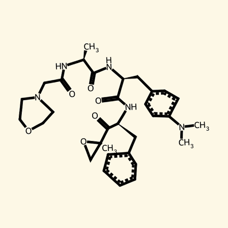 C[C@H](NC(=O)CN1CCOCC1)C(=O)N[C@@H](Cc1ccc(N(C)C)cc1)C(=O)N[C@@H](Cc1ccccc1)C(=O)[C@@]1(C)CO1